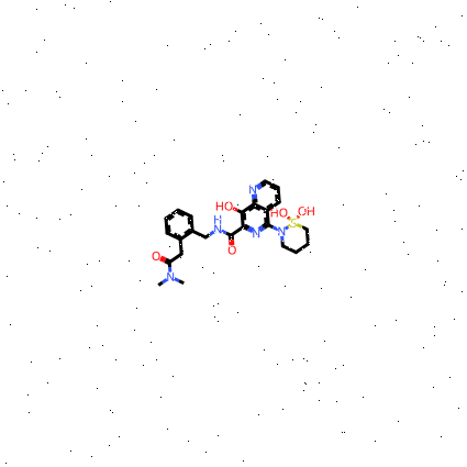 CN(C)C(=O)Cc1ccccc1CNC(=O)c1nc(N2CCCCS2(O)O)c2cccnc2c1O